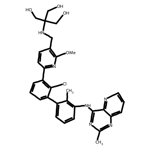 COc1nc(-c2cccc(-c3cccc(Nc4nc(C)nc5cccnc45)c3C)c2Cl)ccc1CNC(CO)(CO)CO